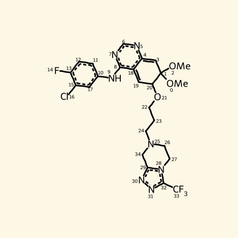 COC1(OC)C=c2ncnc(Nc3ccc(F)c(Cl)c3)c2=CC1OCCCN1CCn2c(nnc2C(F)(F)F)C1